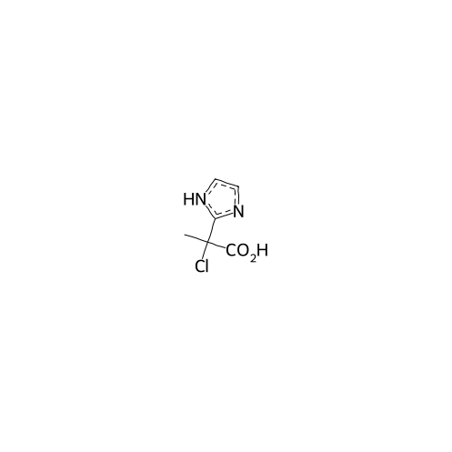 CC(Cl)(C(=O)O)c1ncc[nH]1